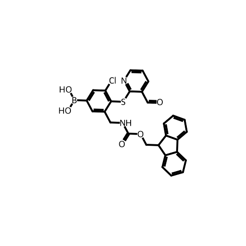 O=Cc1cccnc1Sc1c(Cl)cc(B(O)O)cc1CNC(=O)OCC1c2ccccc2-c2ccccc21